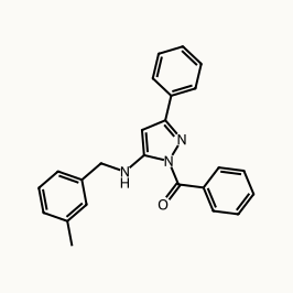 Cc1cccc(CNc2cc(-c3ccccc3)nn2C(=O)c2ccccc2)c1